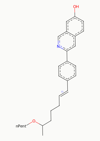 CCCCCOC(C)CCC/C=C/c1ccc(-c2cc3ccc(O)cc3cn2)cc1